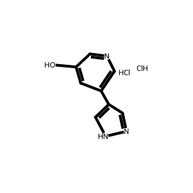 Cl.Cl.Oc1cncc(-c2cn[nH]c2)c1